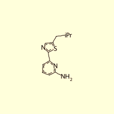 CC(C)Cc1cnc(-c2cccc(N)n2)s1